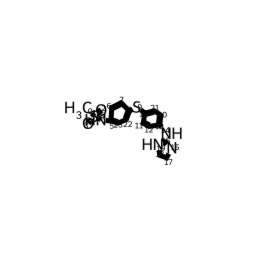 CS(=O)(=O)Nc1ccc(Sc2ccc(NC3=NCCN3)cc2)cc1